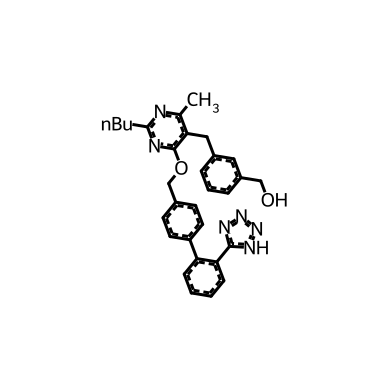 CCCCc1nc(C)c(Cc2cccc(CO)c2)c(OCc2ccc(-c3ccccc3-c3nnn[nH]3)cc2)n1